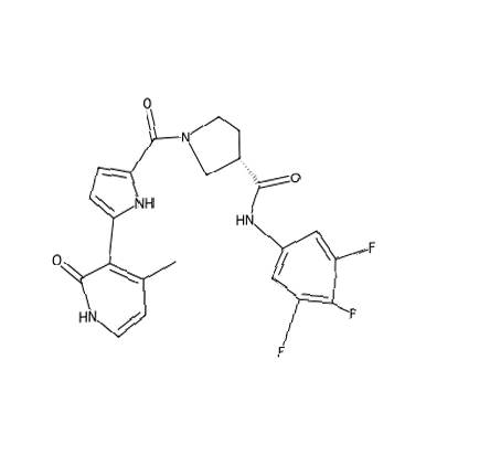 Cc1cc[nH]c(=O)c1-c1ccc(C(=O)N2CC[C@H](C(=O)Nc3cc(F)c(F)c(F)c3)C2)[nH]1